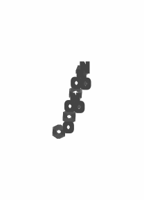 O=C(Oc1ccc(Oc2ccccc2)cc1)N1CCC(OC(=O)n2ccnc2)CC1